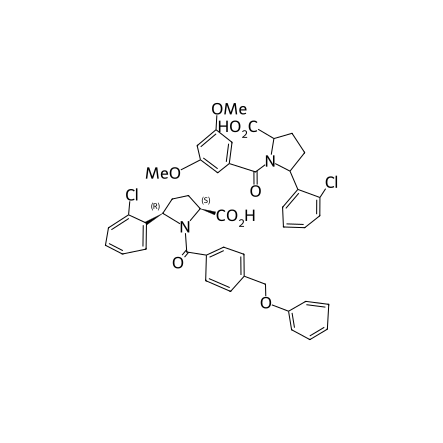 COc1cc(OC)cc(C(=O)N2C(C(=O)O)CCC2c2ccccc2Cl)c1.O=C(O)[C@@H]1CC[C@H](c2ccccc2Cl)N1C(=O)c1ccc(COc2ccccc2)cc1